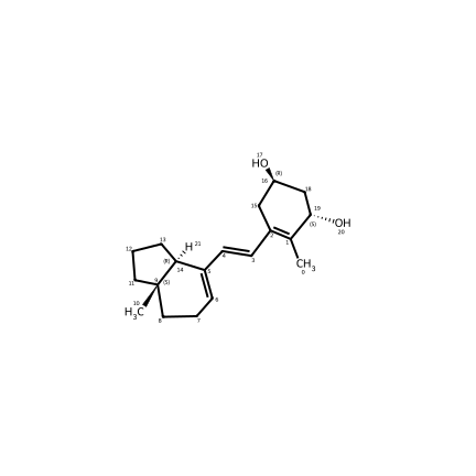 CC1=C(C=CC2=CCC[C@]3(C)CCC[C@@H]23)C[C@@H](O)C[C@@H]1O